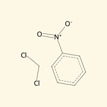 ClCCl.O=[N+]([O-])c1ccccc1